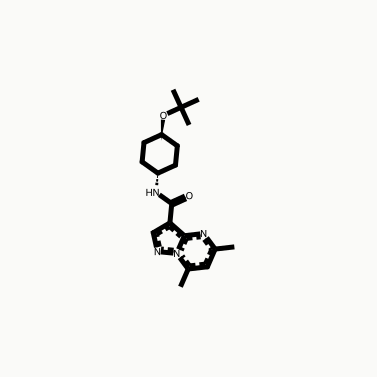 Cc1cc(C)n2ncc(C(=O)N[C@H]3CC[C@H](OC(C)(C)C)CC3)c2n1